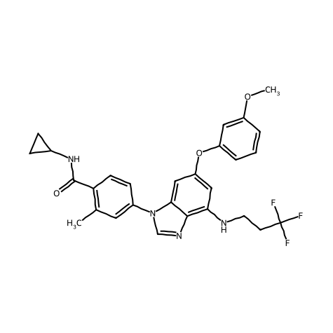 COc1cccc(Oc2cc(NCCC(F)(F)F)c3ncn(-c4ccc(C(=O)NC5CC5)c(C)c4)c3c2)c1